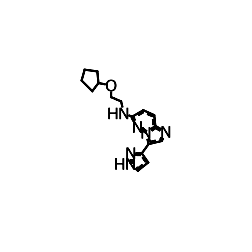 c1cc(-c2cnc3ccc(NCCOC4CCCC4)nn23)n[nH]1